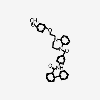 COc1ccc(OCCN2CCCN(C(=O)c3ccc(NC(=O)c4ccccc4-c4ccccc4)cc3)c3ccccc32)cc1